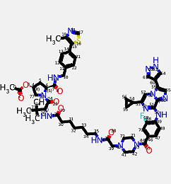 CC(=O)O[C@@H]1C[C@@H](C(=O)NCc2ccc(-c3scnc3C)cc2)N(C(=O)[C@H](NC(=O)CCCCCCNC(=O)CN2CCN(C(=O)c3ccc(Nc4nc(C5CC5)cn5c(-c6cn[nH]c6)cnc45)c(F)c3)CC2)C(C)(C)C)C1